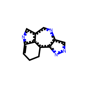 C1=c2ncc3cnc4cnnc4c(c23)CC1